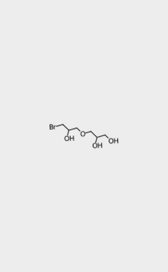 OCC(O)COCC(O)CBr